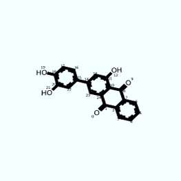 O=C1c2ccccc2C(=O)c2c(O)cc(-c3ccc(O)c(O)c3)cc21